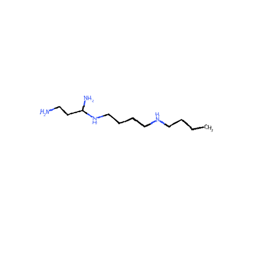 CCCCNCCCCNC(N)CCN